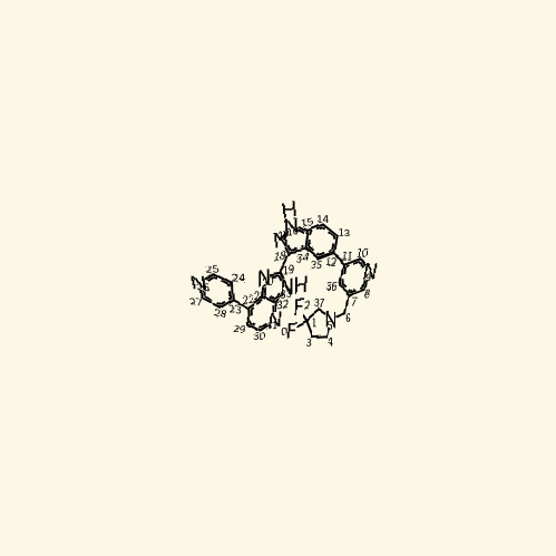 FC1(F)CCN(Cc2cncc(-c3ccc4[nH]nc(-c5nc6c(-c7ccncc7)ccnc6[nH]5)c4c3)c2)C1